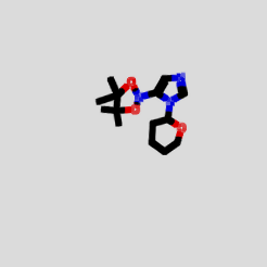 CC1(C)ON(c2cncn2C2CCCCO2)OC1(C)C